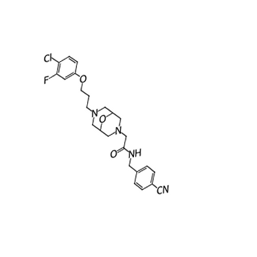 N#Cc1ccc(CNC(=O)CN2CC3CN(CCCOc4ccc(Cl)c(F)c4)CC(C2)O3)cc1